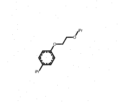 CC(C)OCCOc1ccc(C(C)C)cc1